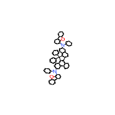 c1ccc(N(c2ccc3c4c(ccc3c2)-c2c(c3ccc(N(c5ccccc5)c5cccc6c5oc5ccccc56)cc3c3ccccc23)C4(c2ccccc2)c2ccccc2)c2cccc3c2oc2ccccc23)cc1